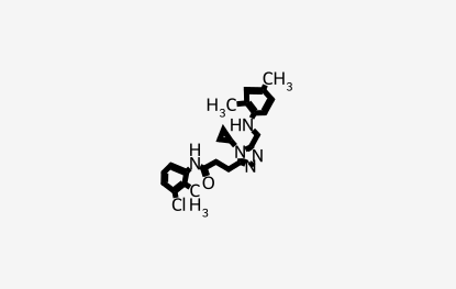 Cc1ccc(NCc2nnc(CCC(=O)Nc3cccc(Cl)c3C)n2C2CC2)c(C)c1